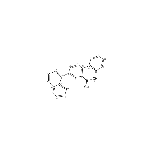 OB(O)c1cc(-c2cccc3ccccc23)ccc1-c1ccccc1